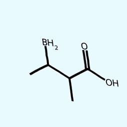 BC(C)C(C)C(=O)O